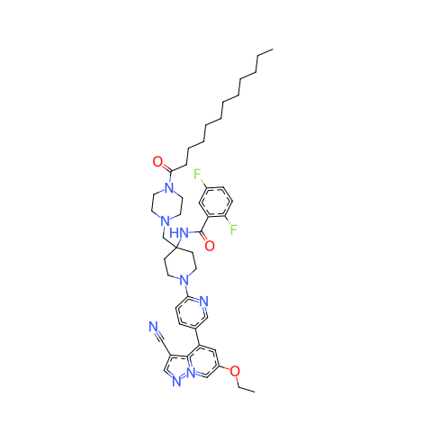 CCCCCCCCCCCC(=O)N1CCN(CC2(NC(=O)c3cc(F)ccc3F)CCN(c3ccc(-c4cc(OCC)cn5ncc(C#N)c45)cn3)CC2)CC1